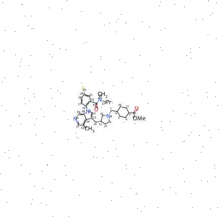 COC(=O)C1CCC(CN2CCC(Cc3cn(-c4ccc(F)cc4C(=O)N(C)C(C)C)c4cncc(C)c34)C2)CC1